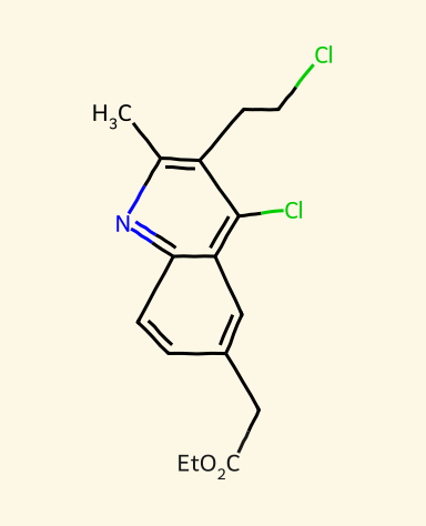 CCOC(=O)Cc1ccc2nc(C)c(CCCl)c(Cl)c2c1